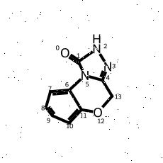 O=c1[nH]nc2n1-c1ccccc1OC2